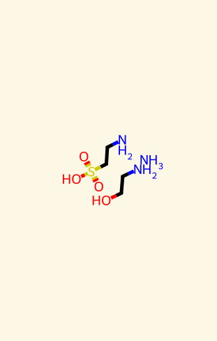 N.NCCO.NCCS(=O)(=O)O